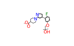 COC(=O)C1CCN(c2cc(-c3cc(OCC(C)(C)O)ccc3F)ccn2)CC1